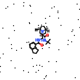 CC(C)(C)NC(=O)CN1[C@@H]2CC[C@H]1C[C@H](CNC(=O)c1cccc3c1CCC3)C2